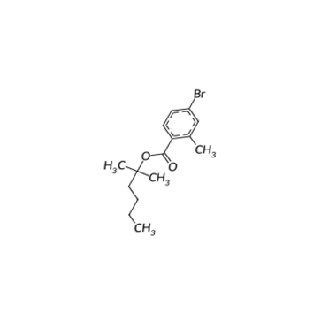 CCCCC(C)(C)OC(=O)c1ccc(Br)cc1C